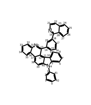 c1ccc(-n2c3ccccc3c3c4c(-c5cccc(-c6nccc7ccccc67)c5)nc5ccccc5c4ccc32)cc1